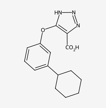 O=C(O)c1nn[nH]c1Oc1cccc(C2CCCCC2)c1